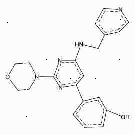 Oc1cccc(-c2cc(NCc3ccncc3)nc(N3CCOCC3)n2)c1